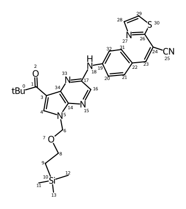 CC(C)(C)C(=O)c1cn(COCC[Si](C)(C)C)c2ncc(Nc3ccc(/C=C(/C#N)c4nccs4)cc3)nc12